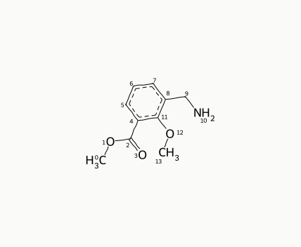 COC(=O)c1cccc(CN)c1OC